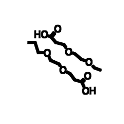 CCCOCCOCCC(=O)O.CCOCCOCCC(=O)O